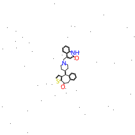 O=C1Cc2ccccc2C(=C2CCN(Cc3cc(=O)[nH]c4ccccc34)CC2)c2ccsc21